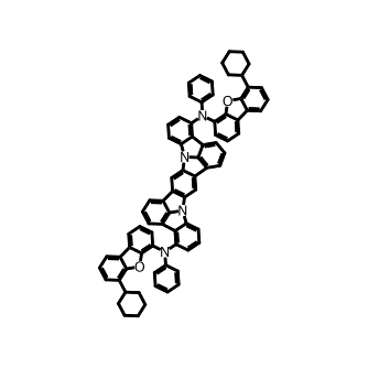 c1ccc(N(c2cccc3c2oc2c(C4CCCCC4)cccc23)c2cccc3c2c2cccc4c5cc6c(cc5n3c42)c2cccc3c4c(N(c5ccccc5)c5cccc7c5oc5c(C8CCCCC8)cccc57)cccc4n6c23)cc1